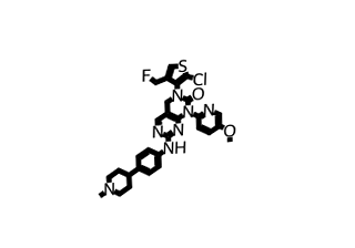 COc1ccc(N2C(=O)N(c3c(CF)csc3Cl)Cc3cnc(Nc4ccc(C5CCN(C)CC5)cc4)nc32)nc1